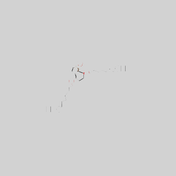 CCCCCCCCOc1ccc(OCCCCCCCC)c2c1cc[s+]2[O-]